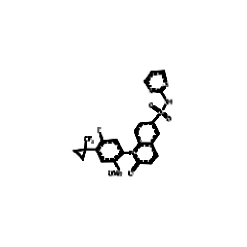 COc1cc(C2(C(F)(F)F)CC2)c(F)cc1-n1c(=O)ccc2cc(S(=O)(=O)Nc3ncccn3)ccc21